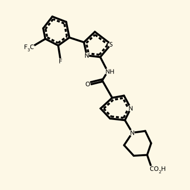 O=C(Nc1nc(-c2cccc(C(F)(F)F)c2F)cs1)c1ccc(N2CCC(C(=O)O)CC2)nc1